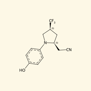 N#CC[C@@H]1C[C@H](C(F)(F)F)CN1c1ccc(O)cc1